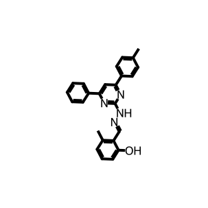 Cc1ccc(-c2cc(-c3ccccc3)nc(NN=Cc3c(C)cccc3O)n2)cc1